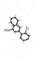 Oc1cc(-c2ccccc2Cl)cc2ccccc12